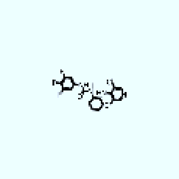 O=C(Nc1cc(F)c(F)c(F)c1)N[C@@H]1CCCC[C@H]1Nc1c(Cl)cncc1Cl